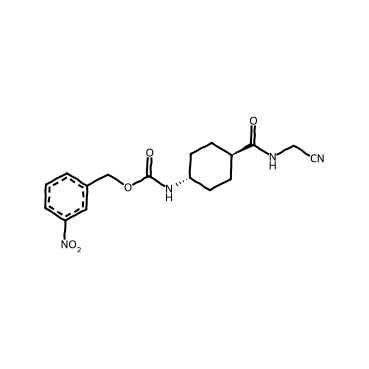 N#CCNC(=O)[C@H]1CC[C@H](NC(=O)OCc2cccc([N+](=O)[O-])c2)CC1